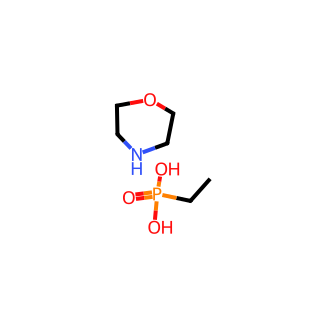 C1COCCN1.CCP(=O)(O)O